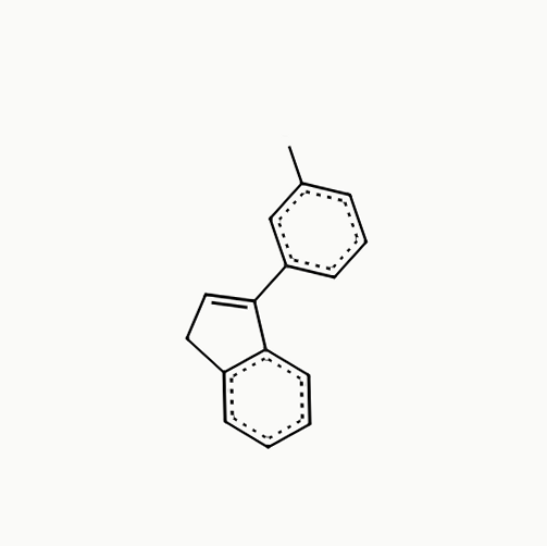 Fc1cccc(C2=C[CH]c3ccccc32)c1